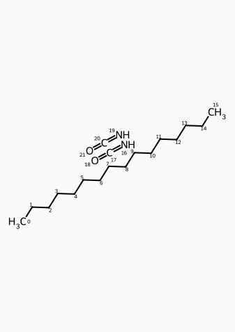 CCCCCCCCCCCCCCCC.N=C=O.N=C=O